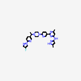 Cc1cc(Nc2cc(C)[nH]n2)nc(-c2ccc(N3CCN(C(C)c4ccc(-n5cc(F)cn5)nc4)CC3)nc2)n1